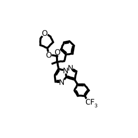 CC(Cc1ccccc1)(C(=O)OC1CCOCC1)c1ccnc2c(-c3ccc(C(F)(F)F)cc3)cnn12